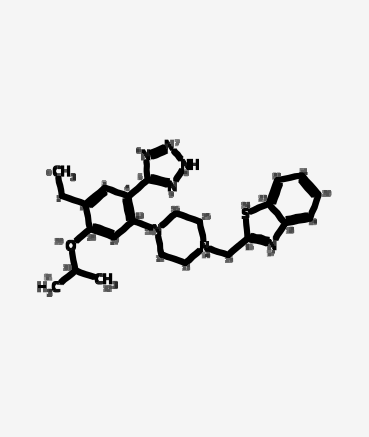 CCc1cc(-c2nn[nH]n2)c(N2CCN(Cc3nc4ccccc4s3)CC2)cc1OC(C)C